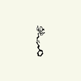 CO[Si](CCCN=CC=Cc1ccccc1)(OC)OC